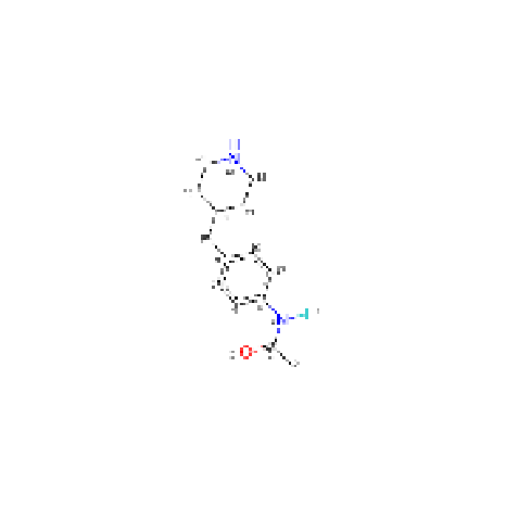 CC(=O)N(F)c1ccc(CC2CCNCC2)cc1